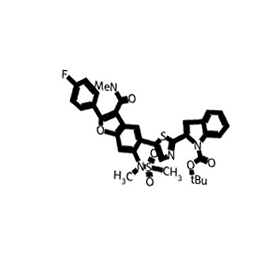 CNC(=O)c1c(-c2ccc(F)cc2)oc2cc(N(C)S(C)(=O)=O)c(-c3cnc(-c4cc5ccccc5n4C(=O)OC(C)(C)C)s3)cc12